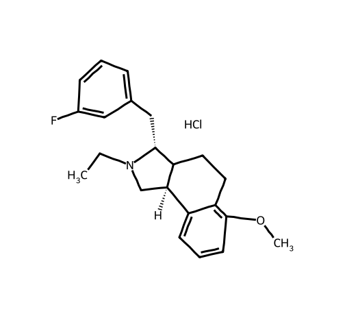 CCN1C[C@@H]2c3cccc(OC)c3CCC2[C@H]1Cc1cccc(F)c1.Cl